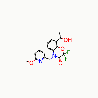 COc1cccc(CN2C(=O)C(F)(F)Oc3c(C(C)O)cccc32)n1